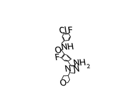 Nc1ncc(C2CCOCC2)nc1-c1ccc(C(=O)NCc2ccc(F)c(Cl)c2)c(F)c1